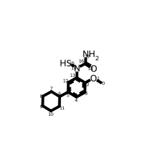 COc1ccc(C2CCCCC2)cc1N(S)C(N)=O